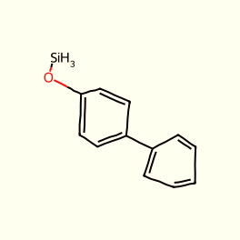 [SiH3]Oc1ccc(-c2ccccc2)cc1